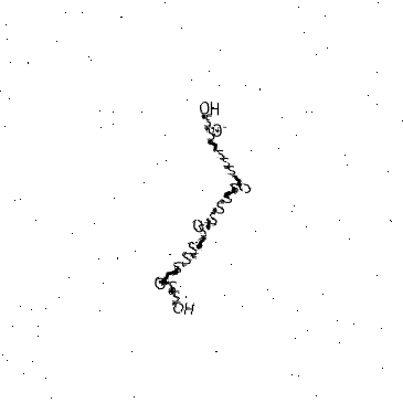 O=C(CCSCSCSCCC[S+]([O-])CSCO)SCCSCSCSCC[S+]([O-])CCCSCSCSCCC(=O)SCSCO